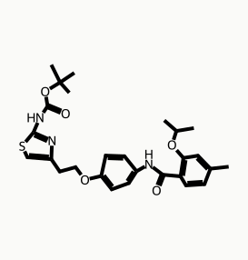 Cc1ccc(C(=O)Nc2ccc(OCCc3csc(NC(=O)OC(C)(C)C)n3)cc2)c(OC(C)C)c1